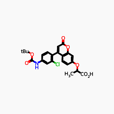 CC(Oc1ccc2c(-c3ccc(NC(=O)OC(C)(C)C)cc3Cl)cc(=O)oc2c1)C(=O)O